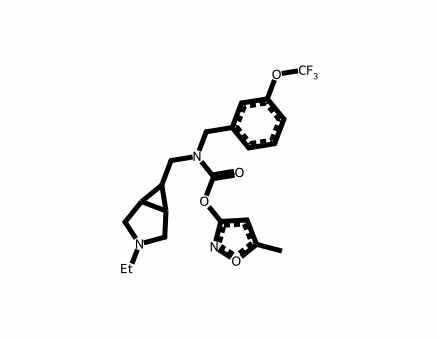 CCN1CC2C(C1)C2CN(Cc1cccc(OC(F)(F)F)c1)C(=O)Oc1cc(C)on1